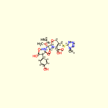 CO[C@@]1(NC(=O)C(C(=O)O)c2ccc(O)cc2)C(=O)N2C(C(=O)O)=C(CSc3nnnn3C)CO[C@@H]21.[NaH]